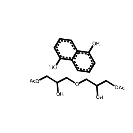 CC(=O)OCC(O)COCC(O)COC(C)=O.Oc1cccc2c(O)cccc12